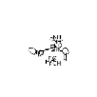 NC(=O)Nc1cc(C#Cc2cnn(C3CCOCC3)c2)sc1C(=O)N[C@H]1CCCCNC1.O=C(O)C(F)(F)F